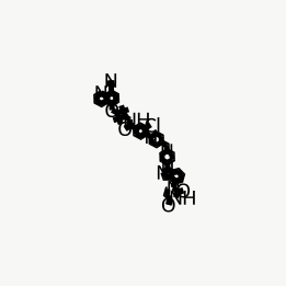 CC1(C)C(NC(=O)c2ccc(N3CCC(CN4CCC(n5ncc6c(N7CCC(=O)NC7=O)cccc65)CC4)CC3)c(Cl)c2)C(C)(C)C1Oc1ccc(C#N)c2ncccc12